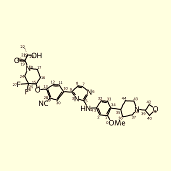 COc1cc(Nc2nccc(-c3ccc(OC4CCN(C(=O)[C@H](C)O)CC4(F)F)c(C#N)c3)n2)ccc1C1CCN(C2COC2)CC1